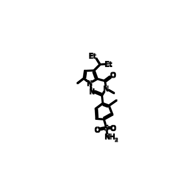 CCC(CC)c1cc(C)n2nc(-c3ccc(S(N)(=O)=O)cc3C)n(C)c(=O)c12